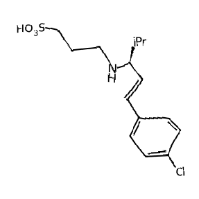 CC(C)[C@@H](/C=C/c1ccc(Cl)cc1)NCCCS(=O)(=O)O